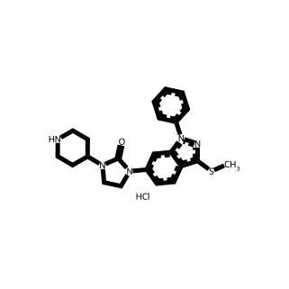 CSc1nn(-c2ccccc2)c2cc(N3CCN(C4CCNCC4)C3=O)ccc12.Cl